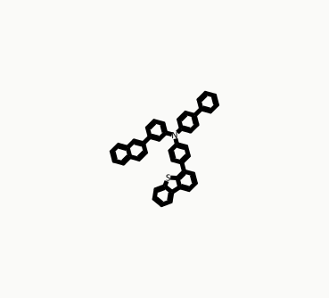 c1ccc(-c2ccc(N(c3ccc(-c4cccc5c4sc4ccccc45)cc3)c3cccc(-c4ccc5ccccc5c4)c3)cc2)cc1